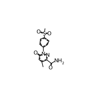 Cc1cc(=O)n(-c2ccc(S(C)(=O)=O)cc2)nc1C(N)=O